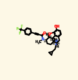 CN(C(=O)C#Cc1ccc(C(F)(F)F)cc1)[C@H]1CC[C@H]2[C@H]3Cc4ccc(O)c5c4[C@@]2(CCN3CC2CC2)[C@H]1O5